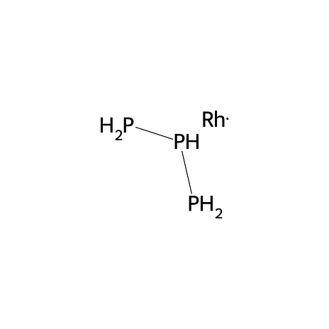 PPP.[Rh]